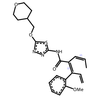 C=C/C(=C(\C=C/C)C(=O)Nc1nnc(OCC2CCOCC2)s1)c1ccccc1OC